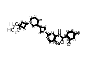 CC(Nc1nc(N2CC(C3CCCN(C4CC(C)(C(=O)O)C4)C3)C2)ncc1Br)c1ccc(F)cc1Cl